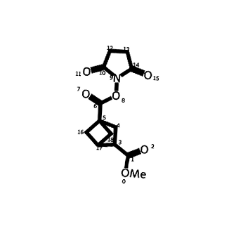 COC(=O)C1CC2(C(=O)ON3C(=O)CCC3=O)CC1C2